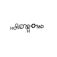 O=C(O)CN1CCC(CC2CC(c3ccc(C=NN4CCCC4)cc3)NO2)CC1